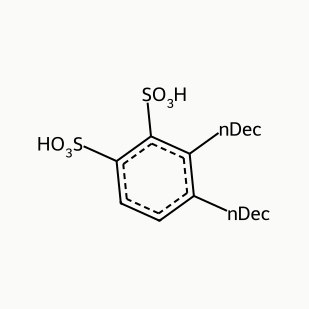 CCCCCCCCCCc1ccc(S(=O)(=O)O)c(S(=O)(=O)O)c1CCCCCCCCCC